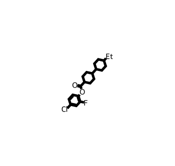 CCC1CCC(C2CCC(C(=O)Oc3ccc(Cl)cc3F)CC2)CC1